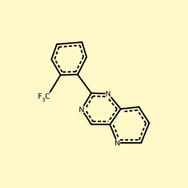 FC(F)(F)c1ccccc1-c1ncc2ncccc2n1